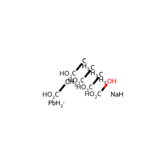 CC(=O)O.CC(=O)O.CC(=O)O.CC(=O)O.O=C(O)O.[NaH].[PbH2]